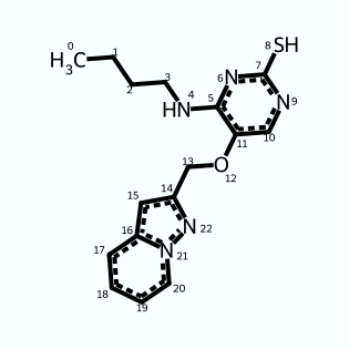 CCCCNc1nc(S)ncc1OCc1cc2ccccn2n1